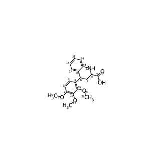 COc1ccc(C2CC(C(=O)O)Nc3ccccc32)c(OC)c1OC